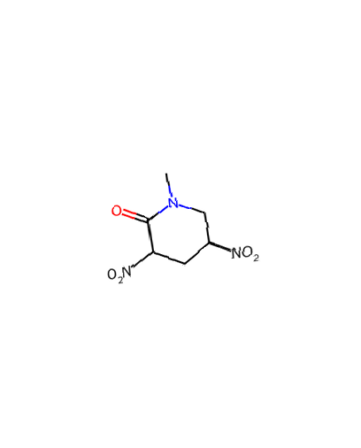 CN1CC([N+](=O)[O-])CC([N+](=O)[O-])C1=O